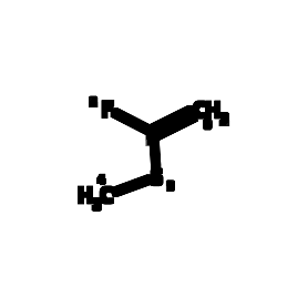 C=C(F)SC